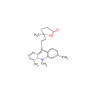 CC1=CC=CC2=C(CCC3(C)CCC(=O)O3)c3ccc(C)cc3N(C)C12